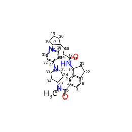 CN(C(=O)c1ccc2c(c1)C(NC(=O)CCC1CCCC1)CC2)C1CCN(c2ccncc2)CC1